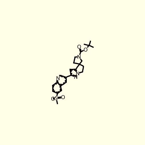 CC(C)(C)OC(=O)N1CCC2(CCn3nc(-c4cnc5ccc(S(C)(=O)=O)cc5c4)cc32)C1